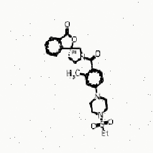 CCS(=O)(=O)N1CCN(c2ccc(C(=O)N3CC[C@@]4(C3)OC(=O)c3ccccc34)c(C)c2)CC1